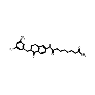 NC(=O)CCCCCCC(=O)Nc1ccc2c(c1)CCC(Cc1cc(C(F)(F)F)cc(C(F)(F)F)c1)C2=O